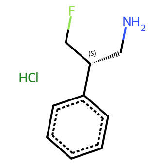 Cl.NC[C@@H](CF)c1ccccc1